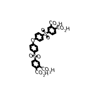 O=C(O)c1ccc(S(=O)(=O)c2ccc(Oc3ccc(S(=O)(=O)c4ccc(C(=O)O)c(C(=O)O)c4)cc3)cc2)cc1C(=O)O